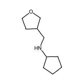 C1CCC(NCC2CCOC2)C1